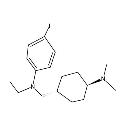 CCN(C[C@H]1CC[C@H](N(C)C)CC1)c1ccc(I)cc1